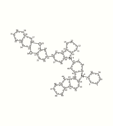 c1ccc(-n2c3ccc(-n4c5ccccc5c5cc(-c6ccc7c(c6)Oc6cc8ccccc8cc6O7)ccc54)cc3c3c4sc5ccccc5c4ccc32)cc1